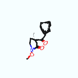 CON1CC[C@@](C)(C(=O)c2ccccc2)C1=O